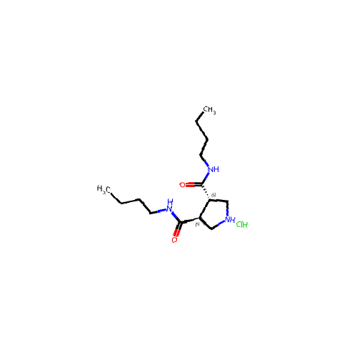 CCCCNC(=O)[C@@H]1CNC[C@H]1C(=O)NCCCC.Cl